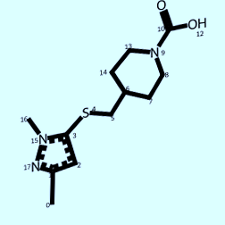 Cc1cc(SCC2CCN(C(=O)O)CC2)n(C)n1